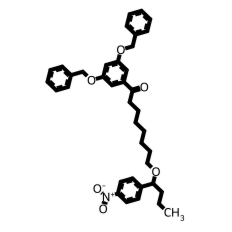 CCCC(OCCCCCCCC(=O)c1cc(OCc2ccccc2)cc(OCc2ccccc2)c1)c1ccc([N+](=O)[O-])cc1